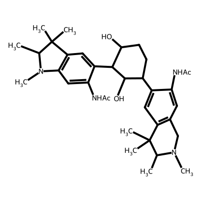 CC(=O)Nc1cc2c(cc1C1CCC(O)C(c3cc4c(cc3NC(C)=O)N(C)C(C)C4(C)C)C1O)C(C)(C)C(C)N(C)C2